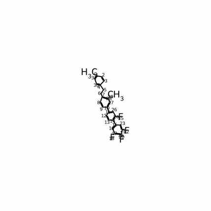 Cc1ccc(CCc2ccc(-c3ccc(-c4cc(F)c(F)c(F)c4)c(F)c3)cc2C)cc1